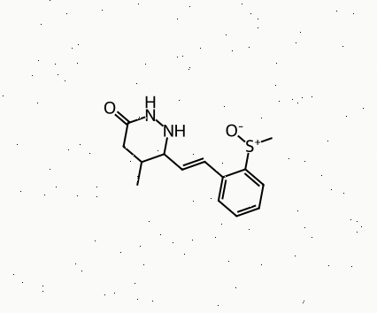 CC1CC(=O)NNC1/C=C/c1ccccc1[S+](C)[O-]